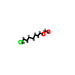 O=[C]OCCCCCCCCl